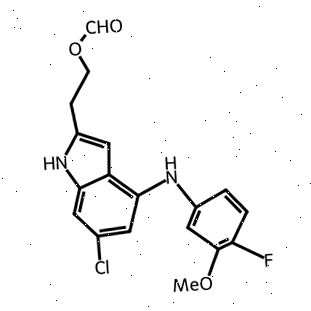 COc1cc(Nc2cc(Cl)cc3[nH]c(CCOC=O)cc23)ccc1F